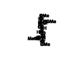 COc1ccc(-c2noc(CC(=O)NCCNC(=O)Cc3onc(-c4ccc(OC)cc4)c3-c3ccc(OC)cc3)c2-c2ccc(OC)cc2)cc1